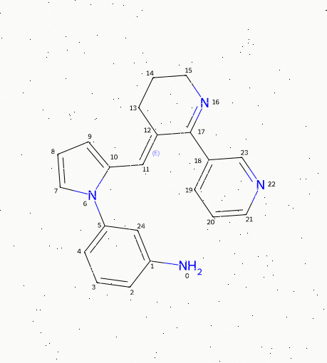 Nc1cccc(-n2cccc2/C=C2\CCCN=C2c2cccnc2)c1